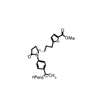 CCCCC[C@H](C)c1ccc(N2C(=O)CC[C@@H]2CCCc2ccc(C(=O)OC)s2)cc1